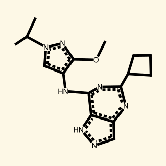 COc1nn(C(C)C)cc1Nc1nc(C2CCC2)nc2cn[nH]c12